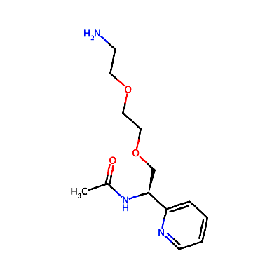 CC(=O)N[C@@H](COCCOCCN)c1ccccn1